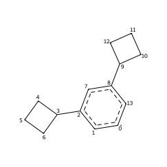 [c]1cc(C2CCC2)cc(C2CCC2)c1